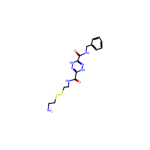 NCCSSCCNC(=O)C1=NNC(C(=O)NCc2ccccc2)=NN1